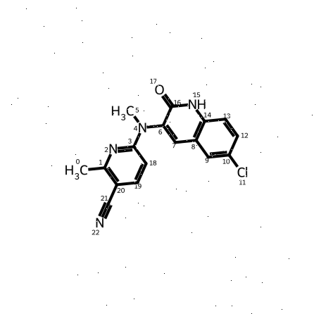 Cc1nc(N(C)c2cc3cc(Cl)ccc3[nH]c2=O)ccc1C#N